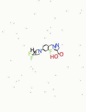 O=C(O)c1cnn(Cc2ccc(N3CC4[C@H](C3)C4(F)F)cc2F)c1